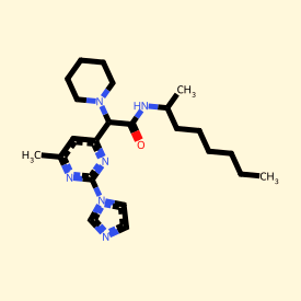 CCCCCCC(C)NC(=O)C(c1cc(C)nc(-n2ccnc2)n1)N1CCCCC1